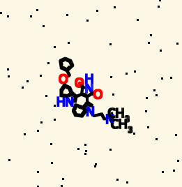 CN(C)CCCn1cc(C2=C(c3c[nH]c4ccc(OCc5ccccc5)cc34)C(=O)NC2=O)c2ccccc21